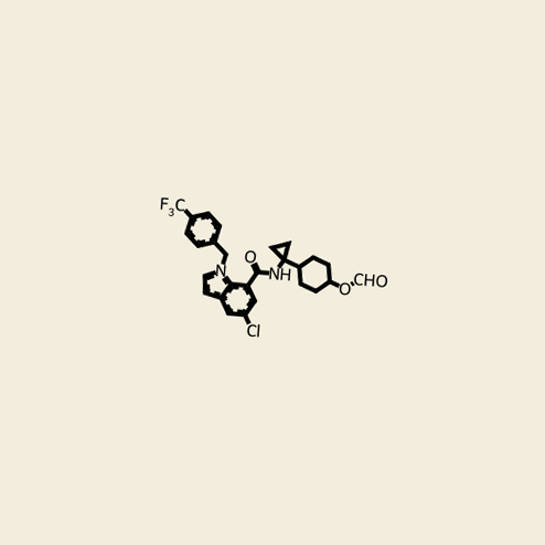 O=COC1CCC(C2(NC(=O)c3cc(Cl)cc4ccn(Cc5ccc(C(F)(F)F)cc5)c34)CC2)CC1